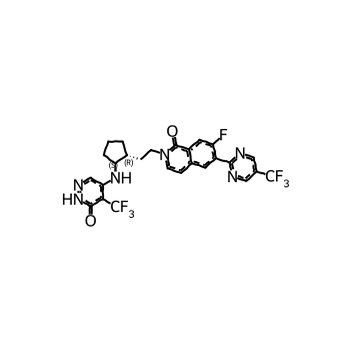 O=c1[nH]ncc(N[C@H]2CCC[C@@H]2CCn2ccc3cc(-c4ncc(C(F)(F)F)cn4)c(F)cc3c2=O)c1C(F)(F)F